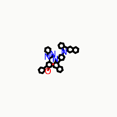 c1ccc2cc3c(cc2c1)c1ccccc1n3-c1ccc2c3c4ccccc4ccc3n(-c3nc4ccccc4nc3-c3ccc4oc5ccccc5c4c3)c2c1